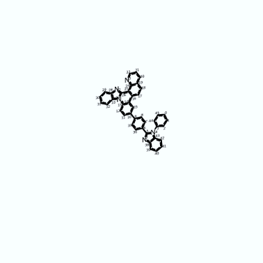 c1ccc(-n2c(-c3ccc(-c4ccc5c(c4)c4ccc6cccnc6c4c4nc6ccccc6n54)cc3)nc3ccccc32)cc1